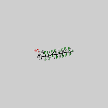 CC(C(F)(F)C(F)(F)C(F)(F)C(F)(F)C(F)(F)C(F)(F)C(F)(F)C(F)(F)F)[Si](C)(C)O